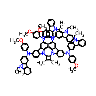 CCn1c2c(c3cc(N(c4ccc(OC)cc4)c4ccc5c(c4)c4cc(N(c6ccc(OC)cc6)c6ccc7c(c6)c6ccccc6n7CC)ccc4n5C4C(C)C(C)C4n4c5ccc(N(c6ccc(OC)cc6)c6ccc7c(c6)c6ccccc6n7CC)cc5c5cc(N(c6ccc(OC)cc6)c6ccc7c(c6)c6ccccc6n7CC)ccc54)ccc31)C=CCC2